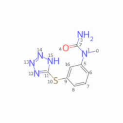 CN(C(N)=O)c1cccc(Sc2nnn[nH]2)c1